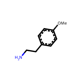 COc1ccc([CH]CN)cc1